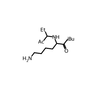 CCC(C)C(=O)C(CCCCN)NC(CC)C(C)=O